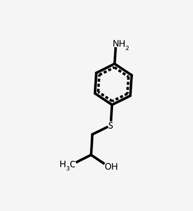 CC(O)CSc1ccc(N)cc1